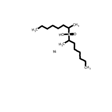 CCCCCCC(C)P(=O)(O)C(C)CCCCCC.[Ni]